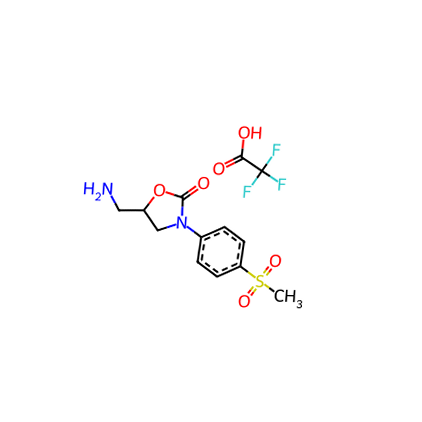 CS(=O)(=O)c1ccc(N2CC(CN)OC2=O)cc1.O=C(O)C(F)(F)F